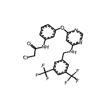 O=C(CCl)Nc1cccc(Oc2cc(NCc3cc(C(F)(F)F)cc(C(F)(F)F)c3)ncn2)c1